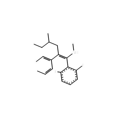 C\C=C/C(=C\C)C(/CC(C)CC)=C(/NC)c1c(F)cccc1F